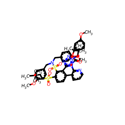 COc1ccc(CN(Cc2ccc(OC)cc2)S(=O)(=O)c2c(S(=O)(=O)CC[Si](C)(C)C)ccc(-c3cccnc3NC(=O)OC(C)(C)C)c2-c2nnn(Cc3ccc(OC)cc3)n2)cc1